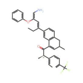 C=C(/C=C\C(=C/C)[C@@H](C)C(=O)C1=CC(C)Cc2ccc(/C(=C/C(=C\N)Oc3ccccc3)CC)cc21)C(F)(F)F